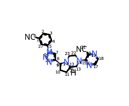 N#Cc1cccc(-n2cc([C@@H]3CC[C@@H]4CN(c5nccnc5C#N)CCN43)nn2)c1